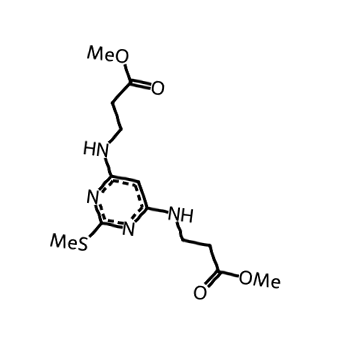 COC(=O)CCNc1cc(NCCC(=O)OC)nc(SC)n1